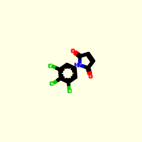 Clc1cccc(Cl)c1Cl.O=C1C=CC(=O)N1